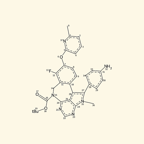 Cc1cccc(Oc2ccc3c(c2F)CN(C(=O)OC(C)(C)C)c2ncnc4c2c-3c(-c2ccc(N)cc2)n4C)n1